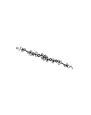 C=CC(=O)OCCCCOC(=O)Oc1ccc(C(=O)Oc2ccc(C(=O)OC3CO[C@@H]4[C@@H](OC(=O)c5ccc(OC(=O)c6ccc(OC(=O)OCCCCOC(=O)C=C)cc6)cc5)CO[C@H]34)cc2)cc1